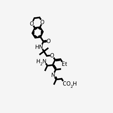 CC\C=C(OCC(C)(C)NC(=O)c1ccc2c(c1)OCCO2)/C(=C(C)/N=C(/C)CC(=O)O)C(C)N